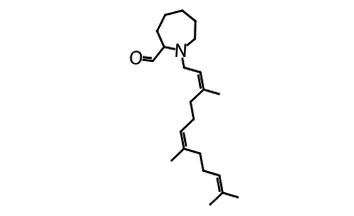 CC(C)=CCCC(C)=CCCC(C)=CCN1CCCCCC1C=O